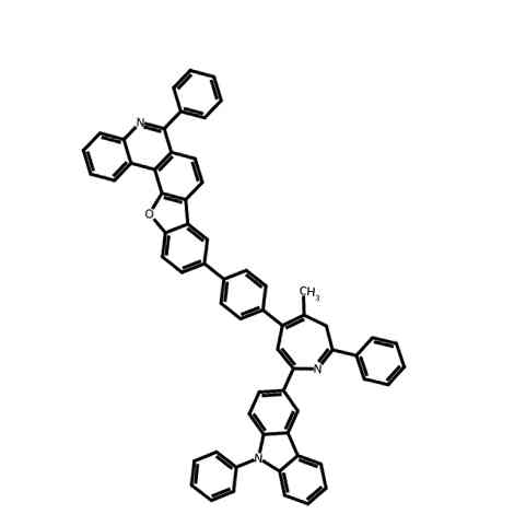 CC1=C(c2ccc(-c3ccc4oc5c(ccc6c(-c7ccccc7)nc7ccccc7c65)c4c3)cc2)C=C(c2ccc3c(c2)c2ccccc2n3-c2ccccc2)N=C(c2ccccc2)C1